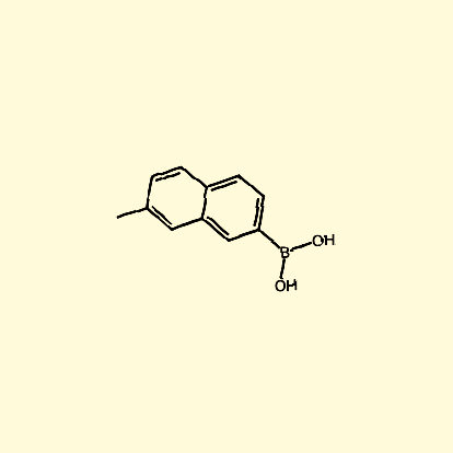 Cc1ccc2ccc(B(O)O)cc2c1